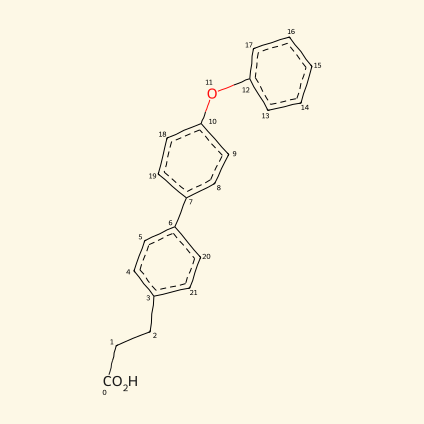 O=C(O)CCc1ccc(-c2ccc(Oc3ccccc3)cc2)cc1